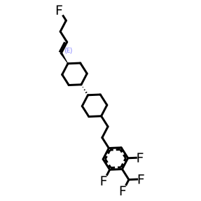 FCC/C=C/[C@H]1CC[C@H](C2CCC(CCc3cc(F)c(C(F)F)c(F)c3)CC2)CC1